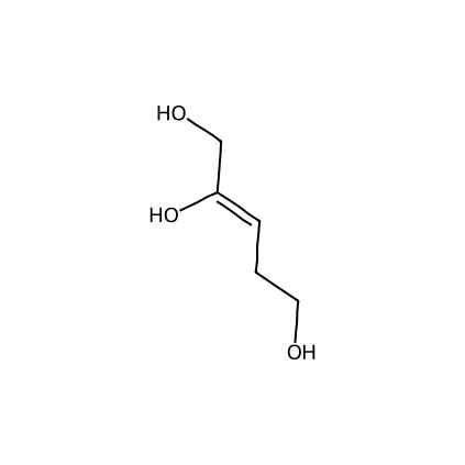 OCCC=C(O)CO